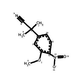 COc1cc(C(C)(C)C#N)ccc1[N+](=O)[O-]